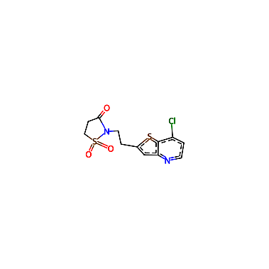 O=C1CCS(=O)(=O)N1CCc1cc2nccc(Cl)c2s1